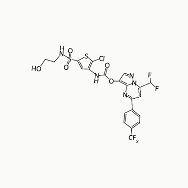 O=C(Nc1cc(S(=O)(=O)NCCO)sc1Cl)Oc1cnn2c(C(F)F)cc(-c3ccc(C(F)(F)F)cc3)nc12